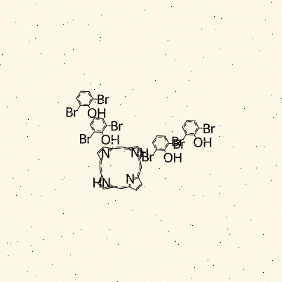 C1=Cc2cc3ccc(cc4nc(cc5ccc(cc1n2)[nH]5)C=C4)[nH]3.Oc1c(Br)cccc1Br.Oc1c(Br)cccc1Br.Oc1c(Br)cccc1Br.Oc1c(Br)cccc1Br